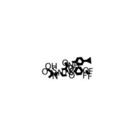 Cc1nc(N2CCN(S(=O)(=O)c3ccc(OC(F)(F)F)cc3)C(C(=O)NCc3ccc(C4CC4)cc3)C2)sc1C(=O)O